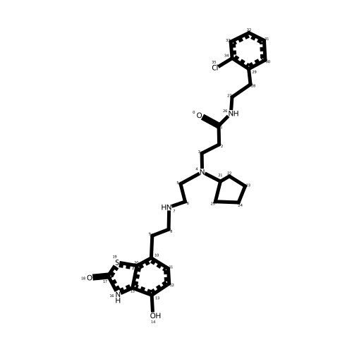 O=C(CCN(CCNCCc1ccc(O)c2[nH]c(=O)sc12)C1CCCC1)NCCc1ccccc1Cl